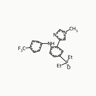 CCP(=O)(CC)c1ccc(Nc2ccc(C(F)(F)F)cc2)c(-c2cn(C)cn2)c1